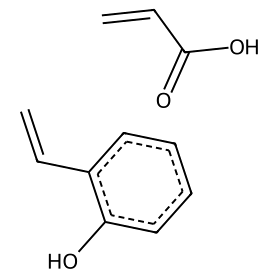 C=CC(=O)O.C=Cc1ccccc1O